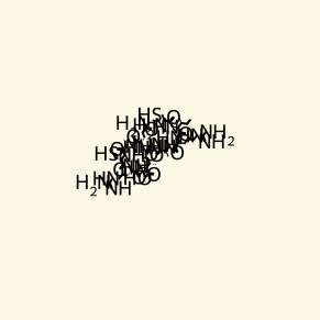 CC[C@H](C)[C@H](NC(=O)[C@H](CCCNC(=N)N)NC(=O)[C@H](CS)NC(=O)[C@H](C)NC(=O)[C@H](CCC(N)=O)NC(=O)[C@H](C)NC(=O)[C@H](C)NC(=O)[C@H](CCCNC(=N)N)NC(=O)[C@@H](NC(=O)[C@@H](N)CS)[C@@H](C)CC)C(=O)O